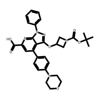 CC(C)(C)OC(=O)N1CC(Oc2nn(-c3ccccc3)c3nc(C(=O)O)cc(-c4ccc(N5CCOCC5)cc4)c23)C1